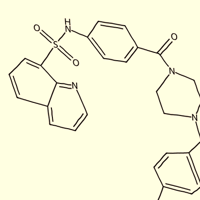 O=C(c1ccc(NS(=O)(=O)c2cccc3cccnc23)cc1)N1CCN(Cc2ccc(O)cc2)CC1